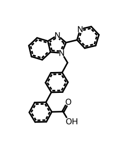 O=C(O)c1ccccc1-c1ccc(Cn2c(-c3ccccn3)nc3ccccc32)cc1